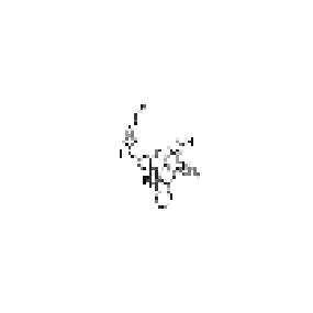 CC1(C)Cc2c([nH]c3ccccc23)[C@@H](c2c(F)cc(NC3CN(CCCF)C3)cc2F)N1CC(F)(F)CO